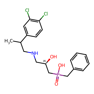 CC(CNC[C@@H](O)CP(=O)(O)Cc1ccccc1)c1ccc(Cl)c(Cl)c1